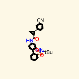 CC(C)(C)NS(=O)(=O)c1ccccc1-c1ccc(NC(=O)[C@@H]2C[C@H]2c2cccc(C#N)c2)cc1